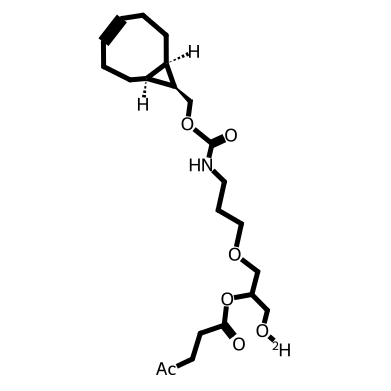 [2H]OCC(COCCCNC(=O)OC[C@@H]1[C@@H]2CCC#CCC[C@@H]21)OC(=O)CCC(C)=O